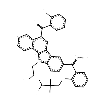 CC(=O)OCCn1c2ccc(/C(=N/OC(C)=O)c3ccccc3OCC(F)(F)C(F)F)cc2c2cc(C(=O)c3ccccc3C)c3ccccc3c21